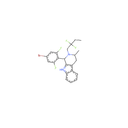 CCC(F)(F)CN1C(C)Cc2c([nH]c3ccccc23)C1c1c(F)cc(Br)cc1F